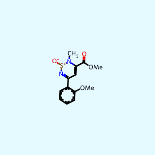 COC(=O)C1=CC(c2ccccc2OC)=N[S+]([O-])N1C